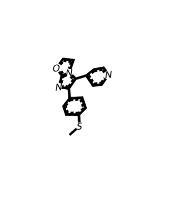 CSc1ccc(-c2nc3occn3c2-c2ccncc2)cc1